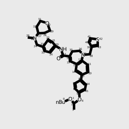 CCCCOC(C)Oc1ccc(-c2ccc3c(c2)C=C(C(=O)Nc2ccc(CN(C)C4CCOCC4)cc2)CCN3Cc2ccsc2)cc1